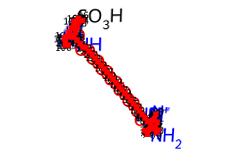 CC[N+]1=C(/C=C/C=C/C=C2\N(CCCCCC(=O)NCCNC(=O)CCOCCOCCOCCOCCOCCOCCOCCOCCOCCOCCOCCOCCNC(=O)CCCC[n+]3c(-c4ccccc4)c4cc(N)ccc4c4ccc(N=[N+]=[N-])cc43)c3ccc(S(=O)(=O)O)cc3C2(C)C)C(C)(C)c2cc(C)ccc21